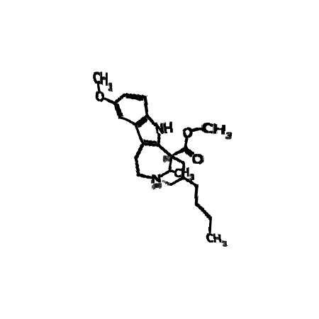 CCCCC1C[N@]2CCc3c([nH]c4ccc(OC)cc34)[C@](C(=O)OC)(C1)C2C